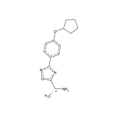 C[C@@H](N)c1nc(-c2ccc(OC3CCCC3)cc2)no1